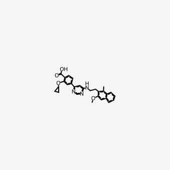 COc1cc2ccccc2c(C)c1CCNc1cc(-c2ccc(C(=O)O)c(OC3CC3)c2)ncn1